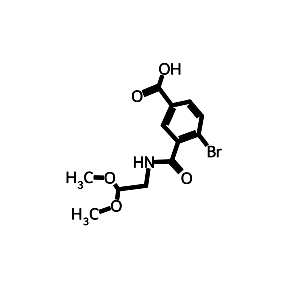 COC(CNC(=O)c1cc(C(=O)O)ccc1Br)OC